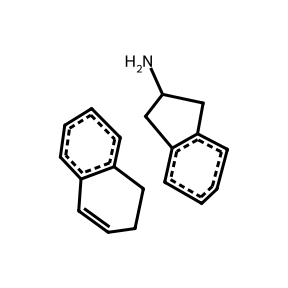 C1=Cc2ccccc2CC1.NC1Cc2ccccc2C1